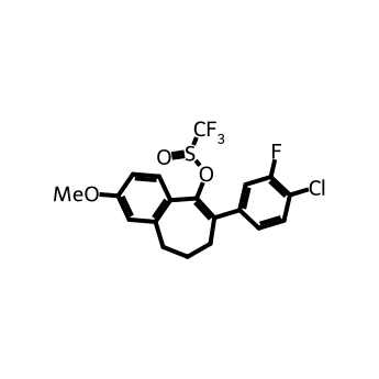 COc1ccc2c(c1)CCCC(c1ccc(Cl)c(F)c1)=C2OS(=O)C(F)(F)F